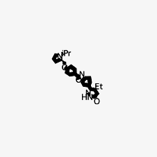 CCC1CC(=O)NN=C1c1ccc2nc(-c3ccc(OC[C@H]4CCCN4C(C)C)cc3)oc2c1